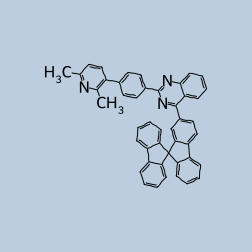 Cc1ccc(-c2ccc(-c3nc(-c4ccc5c(c4)C4(c6ccccc6-c6ccccc64)c4ccccc4-5)c4ccccc4n3)cc2)c(C)n1